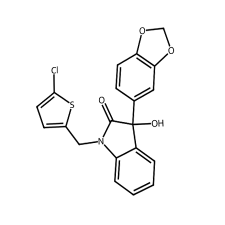 O=C1N(Cc2ccc(Cl)s2)c2ccccc2C1(O)c1ccc2c(c1)OCO2